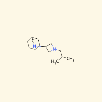 CC(C)CN1CC(N2CC3CCC2CC3)C1